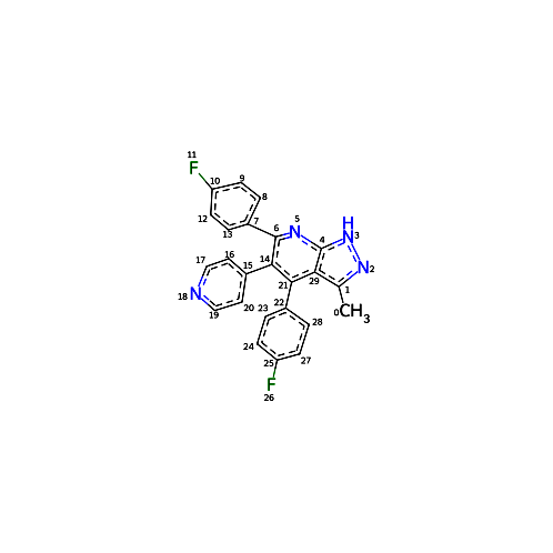 Cc1n[nH]c2nc(-c3ccc(F)cc3)c(-c3ccncc3)c(-c3ccc(F)cc3)c12